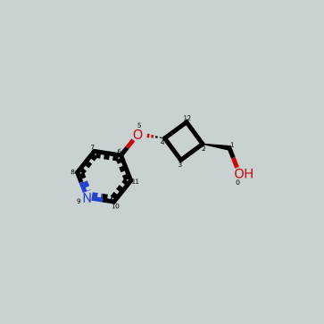 OC[C@H]1C[C@H](Oc2ccncc2)C1